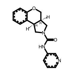 O=C(Nc1cccnc1)N1C[C@@H]2COc3ccccc3[C@@H]2C1